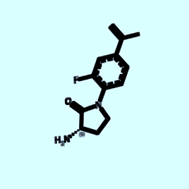 C=C(C)c1ccc(N2CC[C@H](N)C2=O)c(F)c1